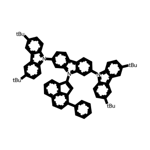 CC(C)(C)c1ccc2c(c1)c1cc(C(C)(C)C)ccc1n2-c1ccc2c3ccc(-n4c5ccc(C(C)(C)C)cc5c5cc(C(C)(C)C)ccc54)cc3n(C3=Cc4c(-c5ccccc5)ccc5cccc3c45)c2c1